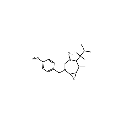 COc1ccc(CN2CN(C)C(C(F)(F)C(F)F)C(F)C3OC32)cc1